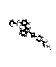 COC(=O)N1CCN(C2CC(n3cc(-c4cc(OC[C@@H]5CCCO5)ccc4F)c4c(N)ncnc43)C2)CC1